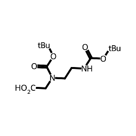 CC(C)(C)OC(=O)NCCN(CC(=O)O)C(=O)OC(C)(C)C